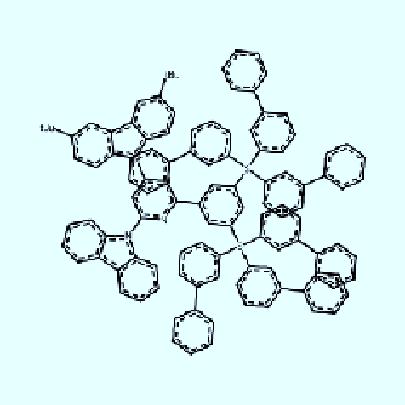 CC(C)(C)c1ccc2c(c1)c1cc(C(C)(C)C)ccc1n2-c1cc(-n2c3ccccc3c3ccccc32)nc(-c2cc(S(c3cccc(-c4ccccc4)c3)(c3cccc(-c4ccccc4)c3)c3cccc(-c4ccccc4)c3)cc(S(c3cccc(-c4ccccc4)c3)(c3cccc(-c4ccccc4)c3)c3cccc(-c4ccccc4)c3)c2)n1